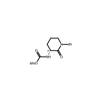 COC(=O)N[C@@H]1CCCN(C(C)C)C1=O